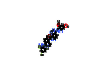 COc1ccc(CNc2ncnc3c(C(=O)Nc4c(C)ccc5c(Nc6c(F)cc(F)cc6F)nccc45)cccc23)c(OC)c1